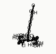 O=CCCCCC(=O)NCCOCCOCCOCCOCCOCCOCCOCCC(=O)Nc1cc(CCC(=O)N2C[C@@H](CCl)c3c2cc(O[C@@H]2O[C@H](CO)[C@H](O)[C@H](O)[C@H]2O)c2ccccc32)ccc1/C=C/C(=O)N1C[C@@H](CCl)c2c1cc(O[C@@H]1O[C@H](CO)[C@H](O)[C@H](O)[C@H]1O)c1ccccc21